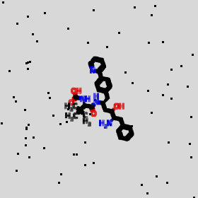 CC(C)(C)[C@H](NC(=O)O)C(=O)N[C@@H](Cc1ccc(-c2ccccn2)cc1)C[C@@H](O)[C@@H](N)Cc1ccccc1